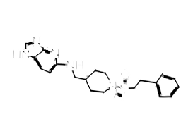 O=S(=O)(CCc1ccccc1)N1CCC(CNc2ccc3[nH]cnc3n2)CC1